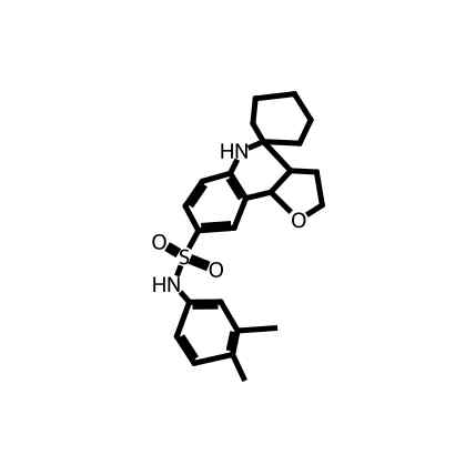 Cc1ccc(NS(=O)(=O)c2ccc3c(c2)C2OCCC2C2(CCCCC2)N3)cc1C